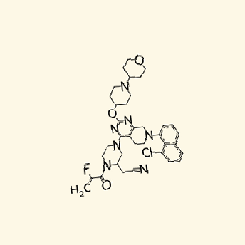 C=C(F)C(=O)N1CCN(c2nc(OC3CCN(C4CCOCC4)CC3)nc3c2CCN(c2cccc4cccc(Cl)c24)C3)CC1CC#N